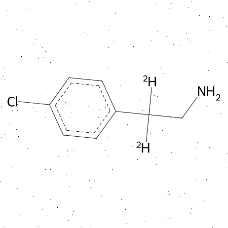 [2H]C([2H])(CN)c1ccc(Cl)cc1